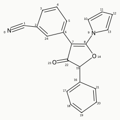 N#Cc1cccc(C2=C(n3cccc3)OC(c3ccccc3)C2=O)c1